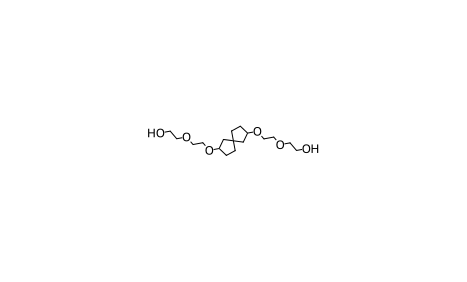 OCCOCCOC1CCC2(CCC(OCCOCCO)C2)C1